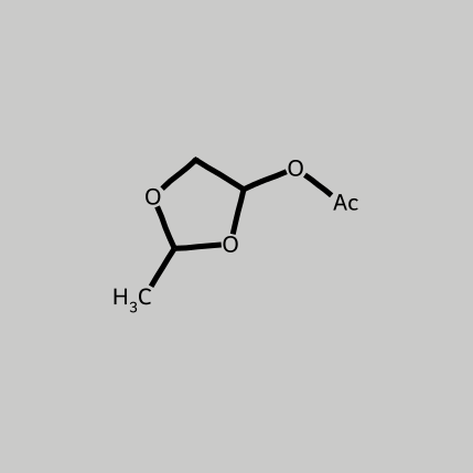 CC(=O)OC1COC(C)O1